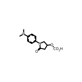 CN(C)c1ccc(N2CC(OC(=O)O)CC2=O)cc1